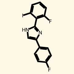 Fc1ccc(-c2c[nH]c(-c3c(F)cccc3I)n2)cc1